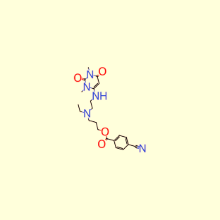 CCN(CCCOC(=O)c1ccc(C#N)cc1)CCNc1cc(=O)n(C)c(=O)n1C